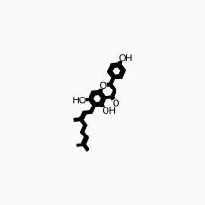 CC(C)=CCCC(C)=CCc1c(O)cc2c(c1O)C(=O)CC(c1ccc(O)cc1)O2